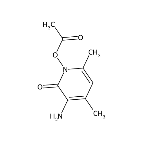 CC(=O)On1c(C)cc(C)c(N)c1=O